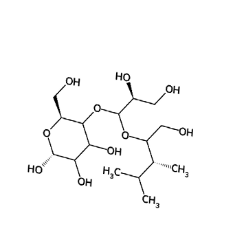 CC(C)[C@@H](C)C(CO)OC(OC1C(O)C(O)[C@H](O)O[C@H]1CO)[C@@H](O)CO